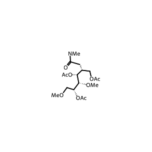 CNC(=O)C[C@H](COC(C)=O)[C@@H](OC(C)=O)[C@H](OC)[C@@H](COC)OC(C)=O